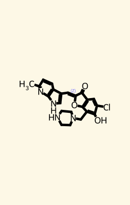 Cc1ccc2c(/C=C3\Oc4c(cc(Cl)c(O)c4CN4CCNCC4)C3=O)c[nH]c2n1